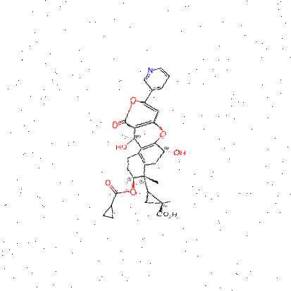 C[C@@]1(O)C2=C(Oc3cc(-c4cccnc4)oc(=O)c31)[C@H](O)CC1=C2CC[C@H](OC(=O)C2CC2)[C@@]1(C)C1C[C@]1(C)C(=O)O